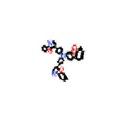 c1ccc2c(c1)oc1cc(N(c3ccc(-c4ccnc5c4oc4ccccc45)cc3)c3ccc(-c4ccnc5c4oc4ccccc45)cc3)ccc12